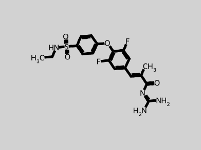 CCNS(=O)(=O)c1ccc(Oc2c(F)cc(/C=C(\C)C(=O)N=C(N)N)cc2F)cc1